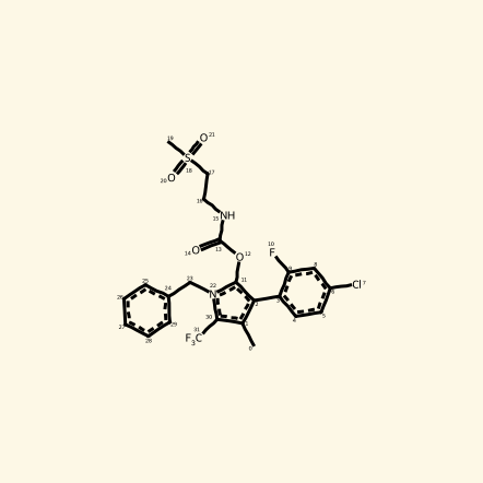 Cc1c(-c2ccc(Cl)cc2F)c(OC(=O)NCCS(C)(=O)=O)n(Cc2ccccc2)c1C(F)(F)F